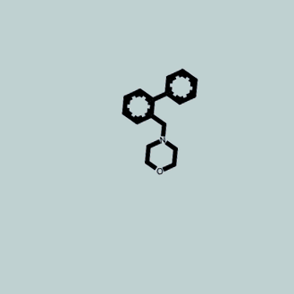 c1ccc(-c2ccccc2CN2CCOCC2)cc1